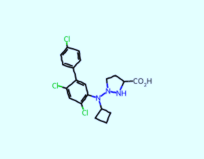 O=C(O)C1CCN(N(c2cc(-c3ccc(Cl)cc3)c(Cl)cc2Cl)C2CCC2)N1